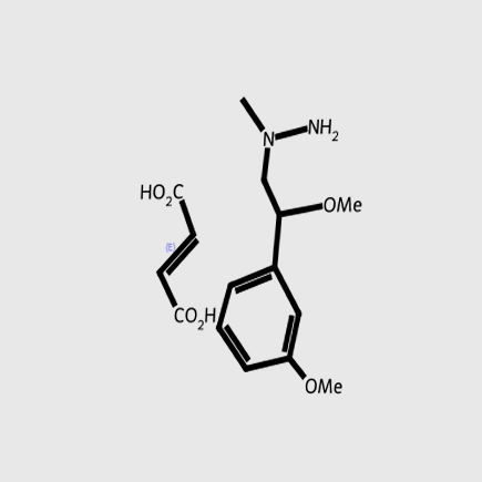 COc1cccc(C(CN(C)N)OC)c1.O=C(O)/C=C/C(=O)O